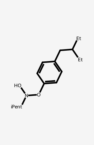 CCCC(C)N(O)Oc1ccc(CC(CC)CC)cc1